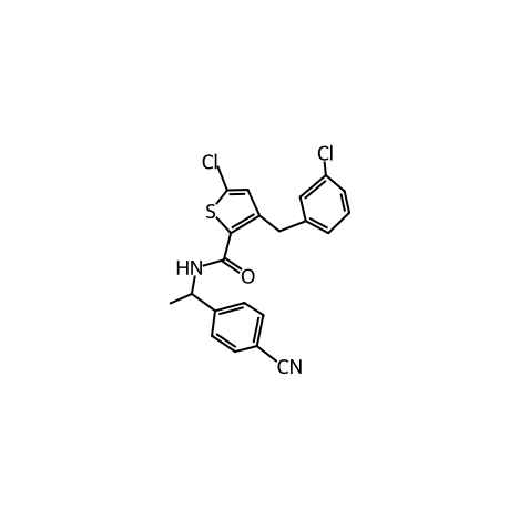 CC(NC(=O)c1sc(Cl)cc1Cc1cccc(Cl)c1)c1ccc(C#N)cc1